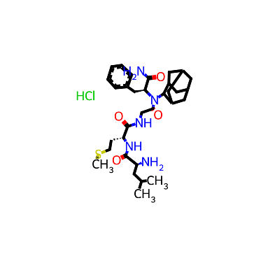 CSCC[C@@H](NC(=O)[C@@H](N)CC(C)C)C(=O)NCC(=O)N(C1C2CC3CC(C2)CC1C3)[C@@H](Cc1ccccc1)C(N)=O.Cl